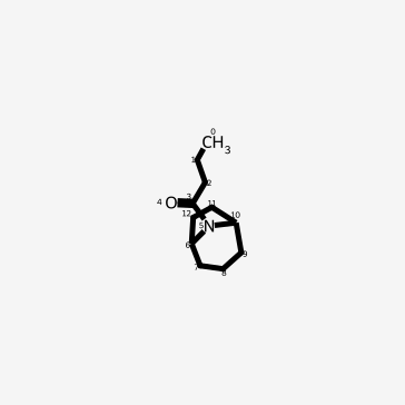 CCCC(=O)N1C2CCCC1CC2